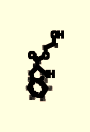 O=C(OCCO)C1Cc2ccccc2N1